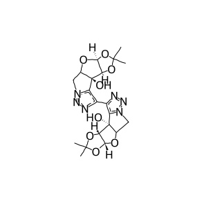 CC1(C)O[C@@H]2OC3Cn4nnc(-c5nnn6c5[C@@]5(O)C(C6)O[C@@H]6OC(C)(C)O[C@@H]65)c4[C@@]3(O)[C@@H]2O1